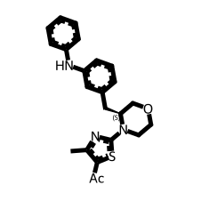 CC(=O)c1sc(N2CCOC[C@@H]2Cc2cccc(Nc3ccccc3)c2)nc1C